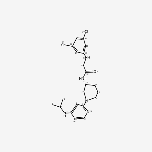 CC(C)Nc1cc(N2CCC[C@@H](NC(=O)CNc3cc(Cl)cc(Cl)c3)C2)ncn1